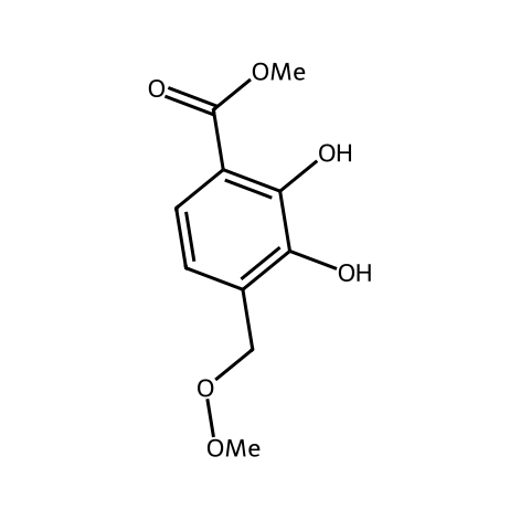 COOCc1ccc(C(=O)OC)c(O)c1O